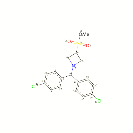 COS(=O)(=O)C1CN(C(c2ccc(Cl)cc2)c2ccc(Cl)cc2)C1